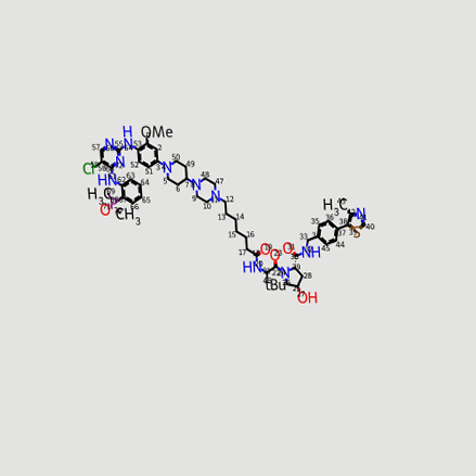 COc1cc(N2CCC(N3CCN(CCCCCCC(=O)NC(C(=O)N4C[C@H](O)C[C@H]4C(=O)NCc4ccc(-c5scnc5C)cc4)C(C)(C)C)CC3)CC2)ccc1Nc1ncc(Cl)c(Nc2ccccc2P(C)(C)=O)n1